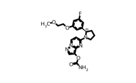 COCCOc1cc(F)cc([C@H]2CCCN2c2ccn3ncc(OC(N)=O)c3n2)c1